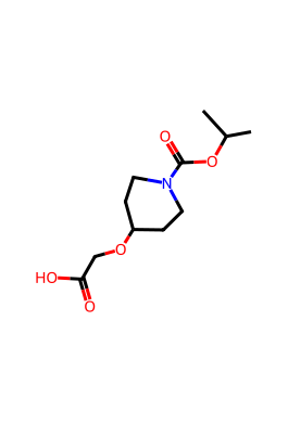 CC(C)OC(=O)N1CCC(OCC(=O)O)CC1